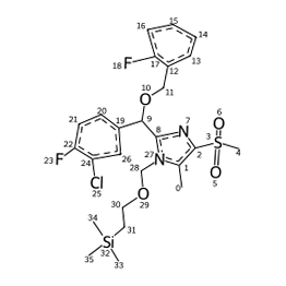 Cc1c(S(C)(=O)=O)nc(C(OCc2ccccc2F)c2ccc(F)c(Cl)c2)n1COCC[Si](C)(C)C